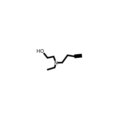 C#CCCN(CC)CCO